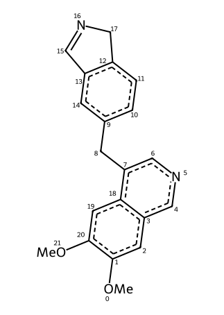 COc1cc2cncc(Cc3ccc4c(c3)C=NC4)c2cc1OC